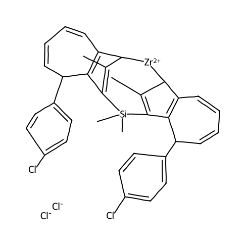 CC1=C2C3=C(C=CC=CC3c3ccc(Cl)cc3)[CH]1[Zr+2][CH]1C(C)=C(C3=C1C=CC=CC3c1ccc(Cl)cc1)[Si]2(C)C.[Cl-].[Cl-]